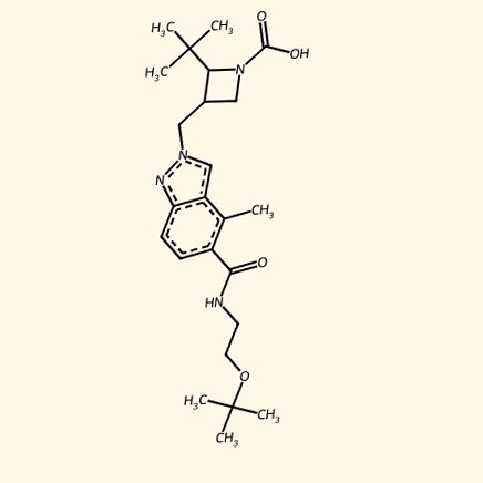 Cc1c(C(=O)NCCOC(C)(C)C)ccc2nn(CC3CN(C(=O)O)C3C(C)(C)C)cc12